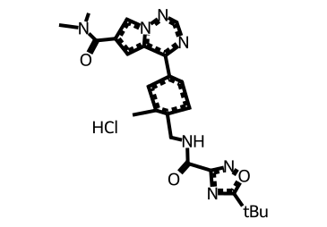 Cc1cc(-c2ncnn3cc(C(=O)N(C)C)cc23)ccc1CNC(=O)c1noc(C(C)(C)C)n1.Cl